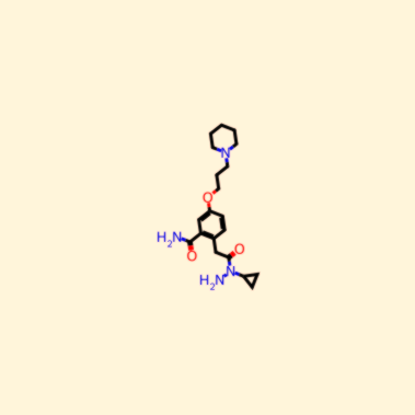 NC(=O)c1cc(OCCCN2CCCCC2)ccc1CC(=O)N(N)C1CC1